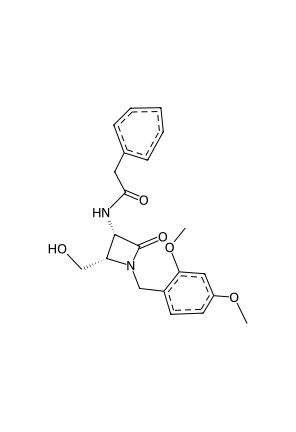 COc1ccc(CN2C(=O)[C@@H](NC(=O)Cc3ccccc3)[C@H]2CO)c(OC)c1